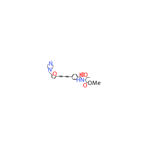 COC(=O)C(NC(=O)c1ccc(C#CC#Cc2ccc(CN3CCN(C)CC3)o2)cc1)C(C)O